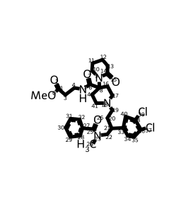 COC(=O)CCNC(=O)C1(N2CCCCC2=O)CCN(CCC(CN(C)C(=O)c2ccccc2)c2ccc(Cl)c(Cl)c2)CC1